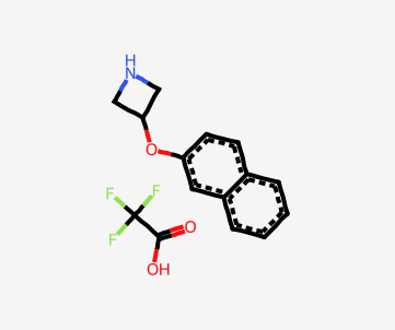 O=C(O)C(F)(F)F.c1ccc2cc(OC3CNC3)ccc2c1